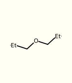 C[CH]COC[CH]C